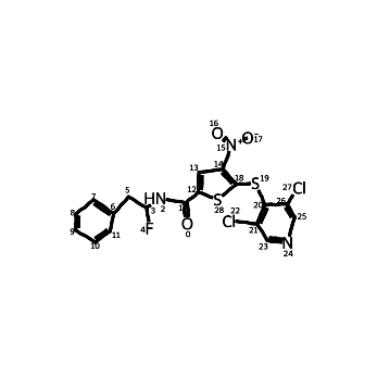 O=C(NC(F)Cc1ccccc1)c1cc([N+](=O)[O-])c(Sc2c(Cl)cncc2Cl)s1